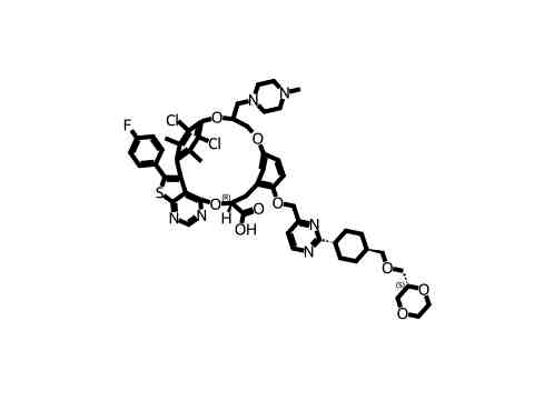 Cc1c(Cl)c2c(Cl)c(C)c1-c1c(-c3ccc(F)cc3)sc3ncnc(c13)O[C@@H](C(=O)O)Cc1cc(ccc1OCc1ccnc([C@H]3CC[C@H](COC[C@H]4COCCO4)CC3)n1)OCC(CN1CCN(C)CC1)O2